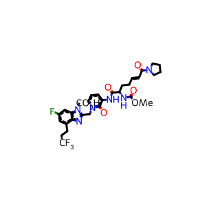 COC(=O)NC(CCC=CC(=O)N1CCCC1)C(=O)Nc1cccn(Cc2nc3c(CCC(F)(F)F)cc(F)cc3n2C(=O)O)c1=O